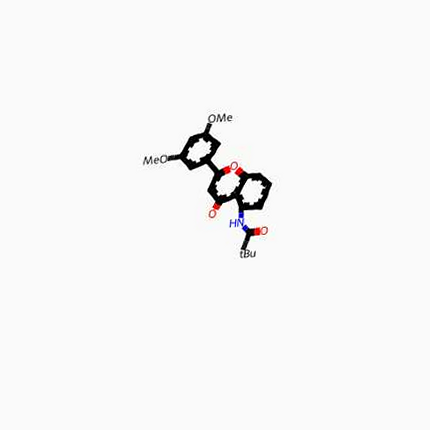 COc1cc(OC)cc(-c2cc(=O)c3c(NC(=O)C(C)(C)C)cccc3o2)c1